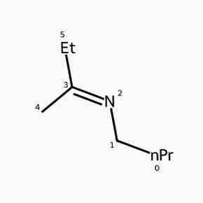 CCCCN=C(C)CC